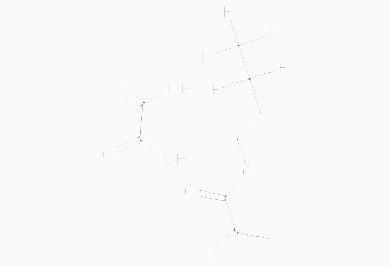 C=C(C)C(=O)OCCC(F)(F)C(F)(F)F.C=C(O)C(=O)O